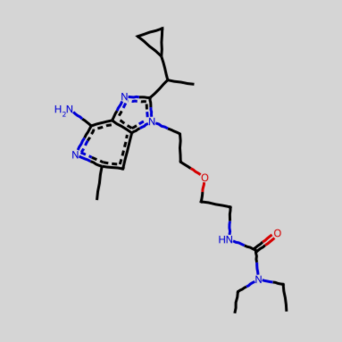 CCN(CC)C(=O)NCCOCCn1c(C(C)C2CC2)nc2c(N)nc(C)cc21